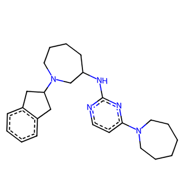 c1ccc2c(c1)CC(N1CCCCC(Nc3nccc(N4CCCCCC4)n3)C1)C2